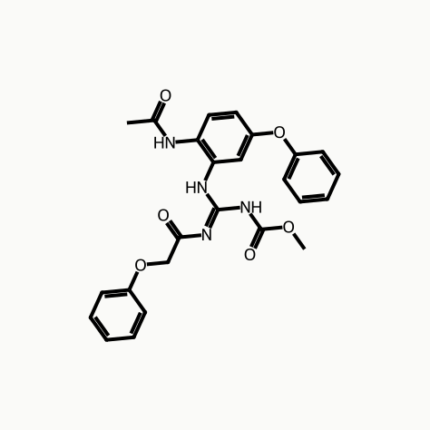 COC(=O)N/C(=N/C(=O)COc1ccccc1)Nc1cc(Oc2ccccc2)ccc1NC(C)=O